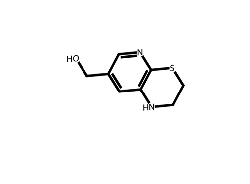 OCc1cnc2c(c1)NCCS2